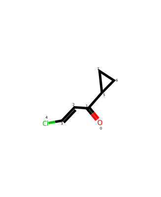 O=C(/C=C/Cl)C1CC1